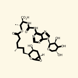 C[C@H](CCC(=O)O[C@H](C)[C@H](NC(=O)Nc1ncnc2c1ncn2[C@@H]1OC[C@@H](O)C(O)[C@@H]1O)C(=O)O)CC[C@@H]1OC2O[C@@H]2C[C@@H]1O